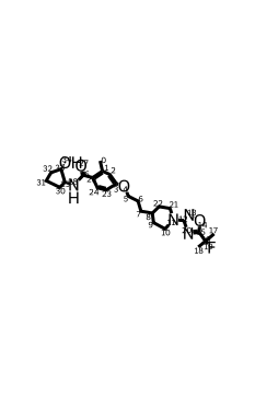 Cc1cc(OCCCC2CCN(c3noc(C(C)(C)F)n3)CC2)ccc1C(=O)N[C@H]1CCC[C@@H]1O